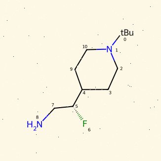 CC(C)(C)N1CCC([C@H](F)CN)CC1